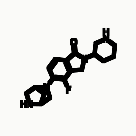 O=C1c2ccc(N3CC4CC3CN4)c(F)c2CN1C1CCCNC1